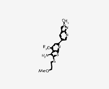 COCCSc1sc2nc(-c3cnc4nn(C)cc4c3)cc(C(F)(F)F)c2c1N